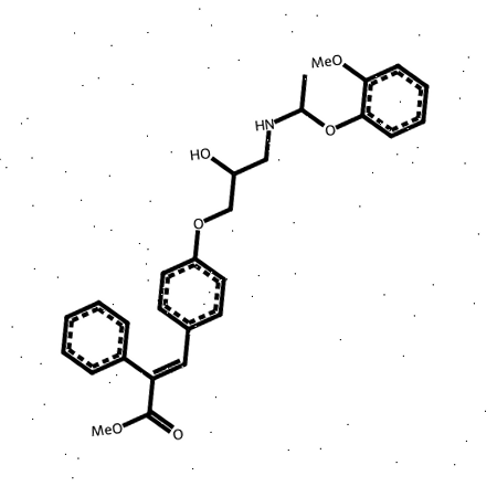 COC(=O)C(=Cc1ccc(OCC(O)CNC(C)Oc2ccccc2OC)cc1)c1ccccc1